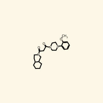 COc1ccccc1N1CCN(C(=O)CC(=O)N2CCC3CCCCC3C2)CC1